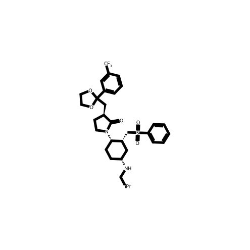 CC(C)CN[C@@H]1CC[C@H](N2CC[C@@H](CC3(c4cccc(C(F)(F)F)c4)OCCO3)C2=O)[C@H](CS(=O)(=O)c2ccccc2)C1